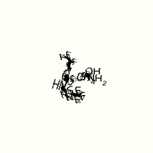 C.FC(F)=C(F)CCOC(=S)Nc1nnc(C(F)(F)F)s1.NC(O)=S